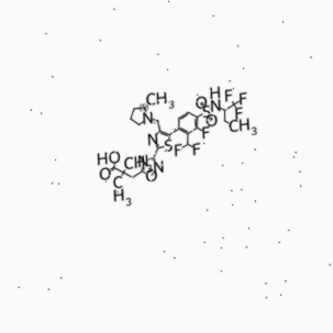 CCC(NS(=O)(=O)c1ccc(-c2sc(-c3noc(CC(C)(C)C(=O)O)n3)nc2CN2CCC[C@@H]2C)c(C(F)F)c1F)C(F)(F)F